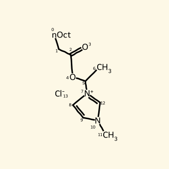 CCCCCCCCCC(=O)OC(C)[n+]1ccn(C)c1.[Cl-]